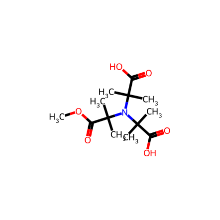 COC(=O)C(C)(C)N(C(C)(C)C(=O)O)C(C)(C)C(=O)O